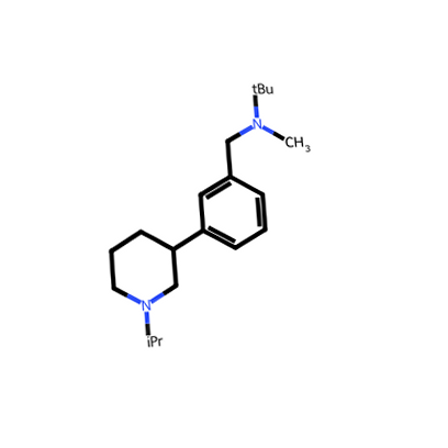 CC(C)N1CCCC(c2cccc(CN(C)C(C)(C)C)c2)C1